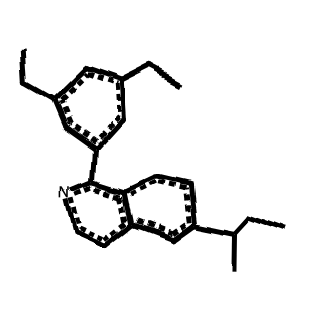 CCc1cc(CC)cc(-c2nccc3cc(C(C)CC)ccc23)c1